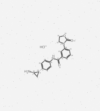 Cl.N[C@@H]1C[C@H]1c1ccc(NC(=O)c2cccc(N3CCOC3=O)c2)cc1